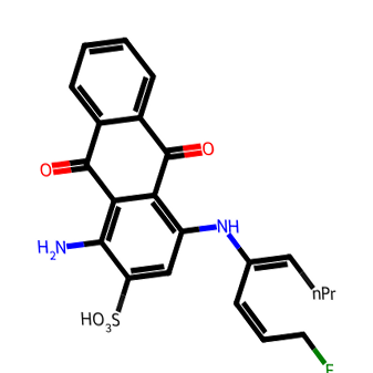 CCC/C=C(\C=C/CF)Nc1cc(S(=O)(=O)O)c(N)c2c1C(=O)c1ccccc1C2=O